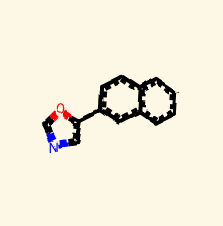 [c]1ccc2cc(-c3cnco3)ccc2c1